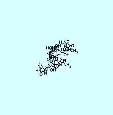 COCC[C@H]1[C@@H](O)[C@H](n2c[n+](C)c3c(=O)[nH]c(N)nc32)O[C@@H]1COP(=O)(O)OP(=O)(O)OP(=O)(O)OC[C@H]1O[C@@H](n2cnc3c(N)ncnc32)[C@H](Oc2ccccc2)[C@@H]1P(=O)([O-])OC[C@H]1O[C@@H](n2cnc3c(=O)[nH]c(N)nc32)[C@H](O)[C@@H]1O